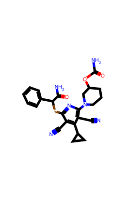 N#Cc1c(SC(C(N)=O)c2ccccc2)nc(N2CCCC(OC(N)=O)C2)c(C#N)c1C1CC1